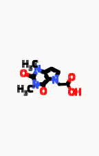 Cn1c(=O)c2c(ccn2CC(=O)O)n(C)c1=O